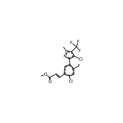 COC(=O)C=Cc1cc(-c2nn(C)c(C(F)(F)F)c2Cl)c(F)cc1Cl